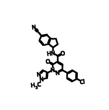 Cn1cc(-n2nc(-c3ccc(Cl)cc3)cc(C(=O)NC3CCc4cc(C#N)ccc43)c2=O)cn1